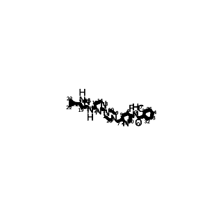 O=C(Nc1ccc(CN2CCN(c3nccc(Nc4cc(C5CC5)[nH]n4)n3)CC2)nc1)c1ccccc1C(F)(F)F